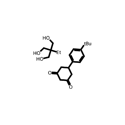 CC(C)(C)c1ccc(C2CC(=O)CC(=O)C2)cc1.CCC(CO)(CO)CO